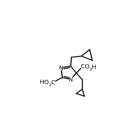 O=C(O)C1=NC(CC2CC2)(C(=O)O)C(CC2CC2)=N1